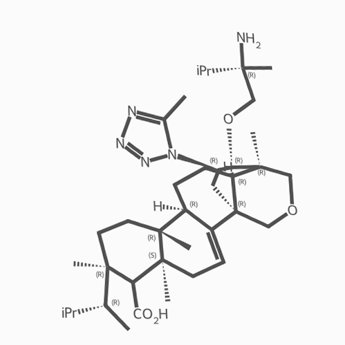 Cc1nnnn1[C@@H]1C[C@@]23COC[C@@](C)([C@@H]2CC[C@H]2C3=CC[C@@]3(C)C(C(=O)O)[C@@](C)([C@H](C)C(C)C)CC[C@]23C)[C@H]1OC[C@](C)(N)C(C)C